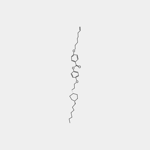 C=CCCCCCCOc1ccc(C(=O)Oc2ccc(OCCC[C@H]3CC[C@H](CCCCCCC)CC3)cc2)cc1